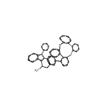 CC1CC=C(c2ccc3c(c2)-c2c(cccc2-c2ccccc2)Sc2ccccc2-c2ccccc2S3)c2c1c1ccccc1n2-c1ccccc1